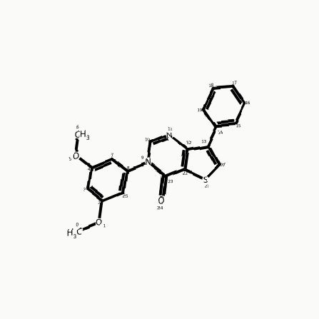 COc1cc(OC)cc(-n2cnc3c(-c4ccccc4)csc3c2=O)c1